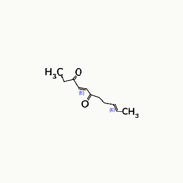 C/C=C/CCC(=O)/C=C/C(=O)CC